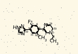 CCN1C=C(c2cc(F)c(-c3nc[nH]n3)cc2C)N=CC1